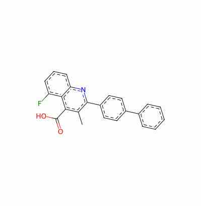 Cc1c(-c2ccc(-c3ccccc3)cc2)nc2cccc(F)c2c1C(=O)O